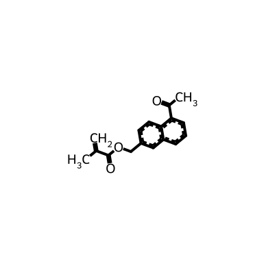 C=C(C)C(=O)OCc1ccc2c(C(C)=O)cccc2c1